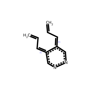 C=C/C=c1/cnnc/c1=C/C=C